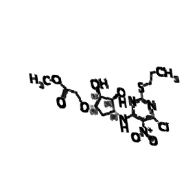 CCCSc1nc(Cl)c([N+](=O)[O-])c(N[C@@H]2C[C@H](OCC(=O)OC)[C@@H](O)[C@H]2O)n1